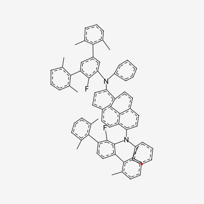 Cc1cccc(C)c1-c1cc(-c2c(C)cccc2C)c(F)c(N(c2ccccc2)c2ccc3ccc4c(N(c5ccccc5)c5c(-c6c(C)cccc6C)ccc(-c6c(C)cccc6C)c5F)ccc5ccc2c3c54)c1